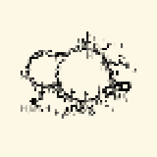 CCCC[C@@H]1NC(=O)[C@@H]2CCCN2C(=O)[C@@H]2CSCc3cc(cc(c3)OCCCCCCC(=O)NCC(=O)N[C@@H](CCCNC(=N)N)C(=O)N2)CSC[C@@H](C(N)=O)NC(=O)[C@H](CCC(=O)O)NC(=O)[C@H](CCC(N)=O)NC(=O)[C@H](Cc2c[nH]c3ccccc23)NC(=O)[C@H]([C@@H](C)CC)NC(=O)[C@H](CC(=O)OOC)NC1=O